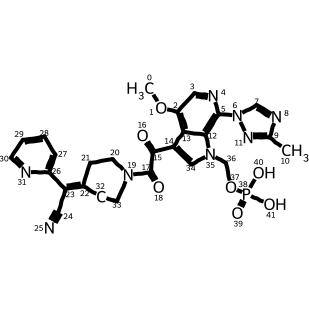 COc1cnc(-n2cnc(C)n2)c2c1c(C(=O)C(=O)N1CCC(=C(C#N)c3ccccn3)CC1)cn2COP(=O)(O)O